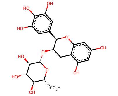 O=C(O)[C@H]1O[C@@H](O[C@@H]2Cc3c(O)cc(O)cc3O[C@@H]2c2cc(O)c(O)c(O)c2)[C@H](O)[C@@H](O)[C@@H]1O